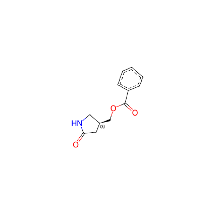 O=C1C[C@H](COC(=O)c2ccccc2)CN1